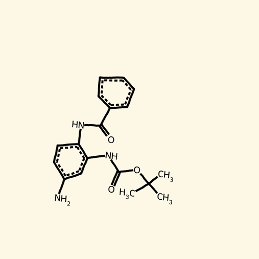 CC(C)(C)OC(=O)Nc1cc(N)ccc1NC(=O)c1ccccc1